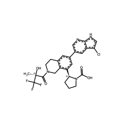 C[C@](O)(C(=O)N1CCc2cc(-c3cnc4[nH]cc(Cl)c4c3)cc([C@@H]3CCCN3C(=O)O)c2C1)C(F)(F)F